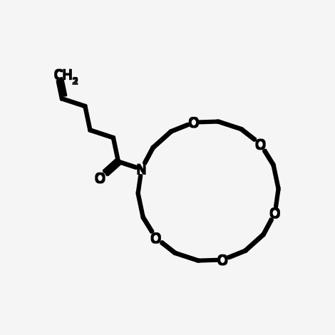 C=CCCCC(=O)N1CCOCCOCCOCCOCCOCC1